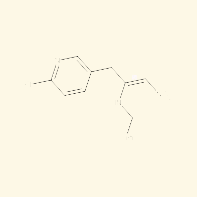 CC(C)CN/C(=C\[N+](=O)[O-])Cc1ccc(Cl)nc1